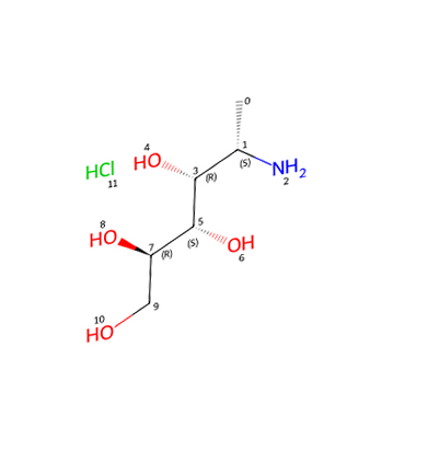 C[C@H](N)[C@@H](O)[C@H](O)[C@H](O)CO.Cl